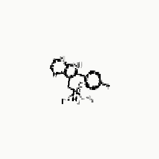 C[N+](C)(C)Cc1c(-c2ccc(F)cc2)[nH]c2nccnc12.[I-]